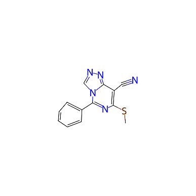 CSc1nc(-c2ccccc2)n2cnnc2c1C#N